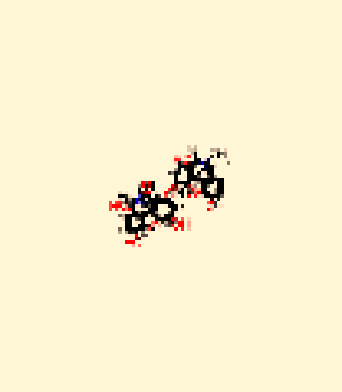 CN1CC[C@]23c4c5ccc(O)c4O[C@H]2C(=O)CC[C@@]3(O)[C@H]1C5.CN1CC[C@]23c4c5ccc(O)c4O[C@H]2[C@@H](O)C=C[C@@]3(O)[C@H]1C5=O